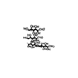 CC(=O)N[C@@H](C=O)[C@@H](O)[C@@H](N)[C@@H](C)O.N[C@@H](C=O)[C@@H](O)[C@@H](O)[C@H](O)CO.O=C[C@H](O)[C@@H](O)[C@@H](O)[C@H](O)CO.O=C[C@H](O)[C@@H](O)[C@H](O)[C@H](O)CO